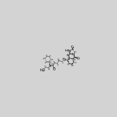 O=C1Cn2c(nc3c(OCCCCC(=O)N(CCO)C4CCCCC4)cccc3c2=O)N1